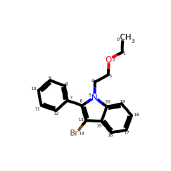 CCOCCn1c(-c2ccccc2)c(Br)c2ccccc21